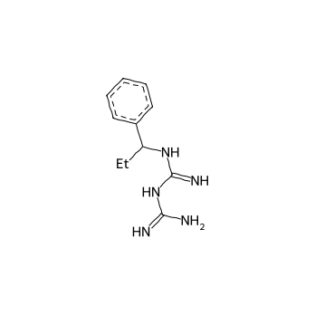 CCC(NC(=N)NC(=N)N)c1ccccc1